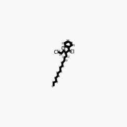 CCCCCCCCCCCCCC(C(=O)CCl)C(Cl)c1ccccc1